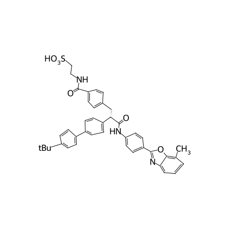 Cc1cccc2nc(-c3ccc(NC(=O)[C@@H](Cc4ccc(C(=O)NCCS(=O)(=O)O)cc4)c4ccc(-c5ccc(C(C)(C)C)cc5)cc4)cc3)oc12